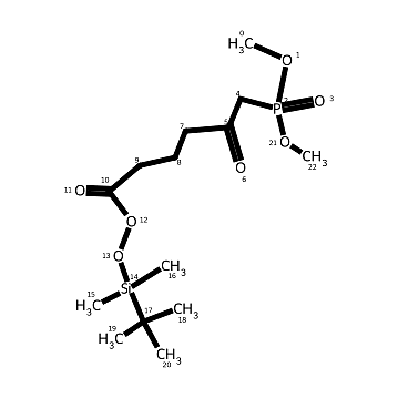 COP(=O)(CC(=O)CCCC(=O)OO[Si](C)(C)C(C)(C)C)OC